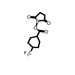 O=C(ON1C(=O)CCC1=O)C1CCC(C(F)(F)F)CC1